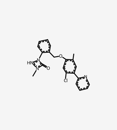 Cc1cc(-c2ccccn2)c(Cl)cc1OCc1ccccc1-n1[nH]n(C)c1=O